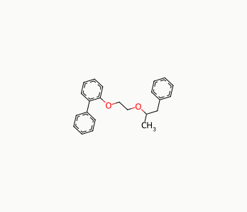 CC(Cc1ccccc1)OCCOc1ccccc1-c1ccccc1